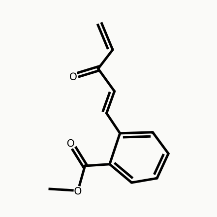 C=CC(=O)C=Cc1ccccc1C(=O)OC